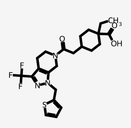 CCC1(C(=O)O)CCC(CC(=O)N2CCc3c(C(F)(F)F)nn(Cc4cccs4)c3C2)CC1